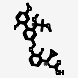 COc1ccc(F)c(-c2ccc(COc3cccc([C@@H](CC(=O)O)C4CC4)c3F)cc2[C@@H](OC)C(C)(C)OC)c1